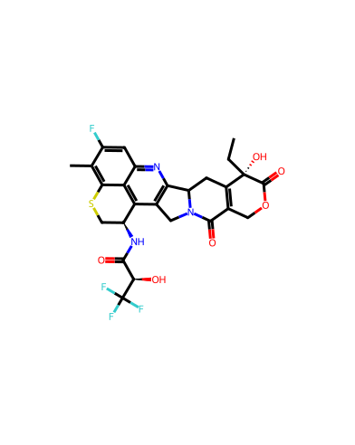 CC[C@@]1(O)C(=O)OCC2=C1CC1c3nc4cc(F)c(C)c5c4c(c3CN1C2=O)[C@@H](NC(=O)[C@@H](O)C(F)(F)F)CS5